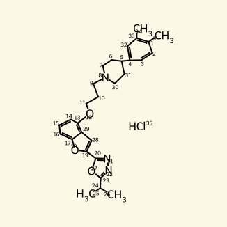 Cc1ccc(C2CCN(CCCOc3cccc4oc(-c5nnc(C(C)C)o5)cc34)CC2)cc1C.Cl